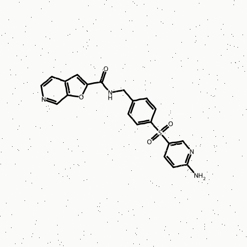 Nc1ccc(S(=O)(=O)c2ccc(CNC(=O)c3cc4ccncc4o3)cc2)cn1